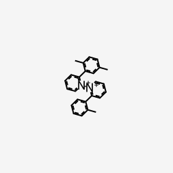 Cc1ccc(C)c(-c2cccc[n+]2-[n+]2ccccc2-c2ccccc2C)c1